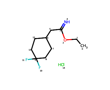 CCOC(=N)CC1CCC(F)(F)CC1.Cl